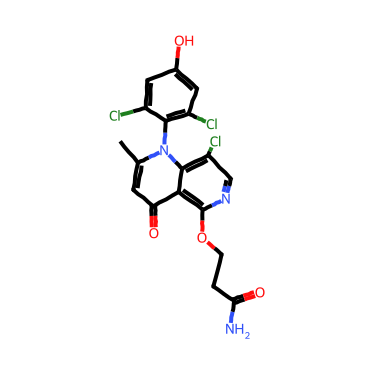 Cc1cc(=O)c2c(OCCC(N)=O)ncc(Cl)c2n1-c1c(Cl)cc(O)cc1Cl